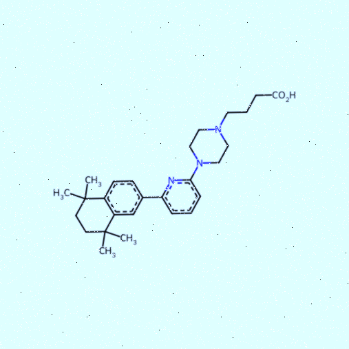 CC1(C)CCC(C)(C)c2cc(-c3cccc(N4CCN(CCCC(=O)O)CC4)n3)ccc21